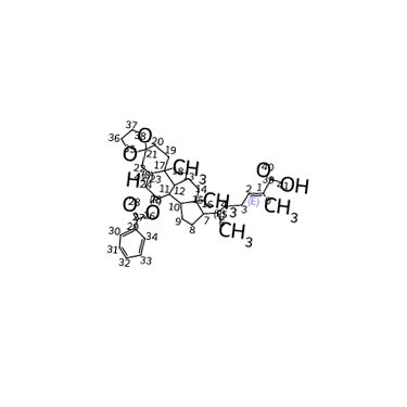 C/C(=C\CC[C@@H](C)C1CCC2C3C(CCC21C)C1(C)CCC2(C[C@@H]1C[C@H]3OC(=O)c1ccccc1)OCCO2)C(=O)O